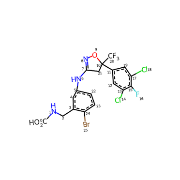 O=C(O)NCc1cc(NC2=NOC(c3cc(Cl)c(F)c(Cl)c3)(C(F)(F)F)C2)ccc1Br